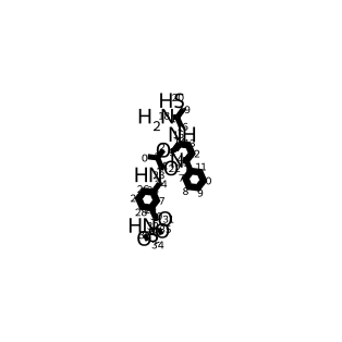 CC(Oc1nc(-c2ccccc2)ccc1NCC(N)CS)C(=O)NCc1cccc(C(=O)NS(C)(=O)=O)c1